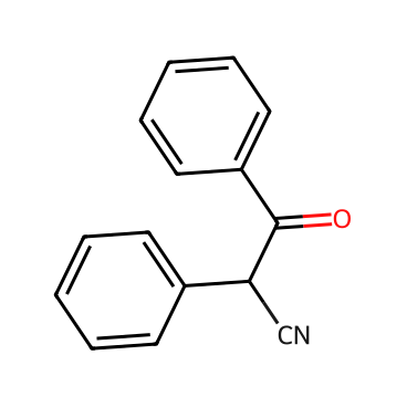 N#CC(C(=O)c1ccccc1)c1ccccc1